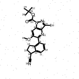 COc1cc2c(nc1-c1cccc3c1CCC3C#N)c(I)nn2C(=O)OC(C)(C)C